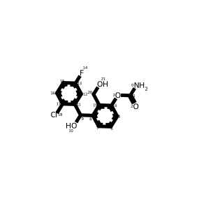 NC(=O)Oc1cccc(C(O)c2cc(F)ccc2Cl)c1CO